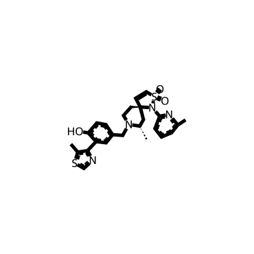 Cc1cccc(N2[C@]3(C=CS2(=O)=O)CCN(Cc2ccc(O)c(-c4ncsc4C)c2)[C@@H](C)C3)n1